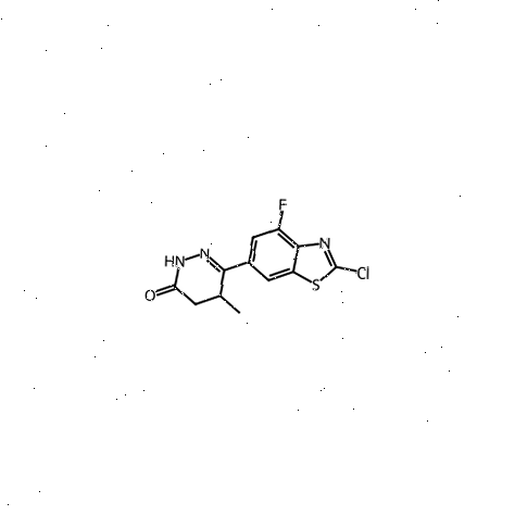 CC1CC(=O)NN=C1c1cc(F)c2nc(Cl)sc2c1